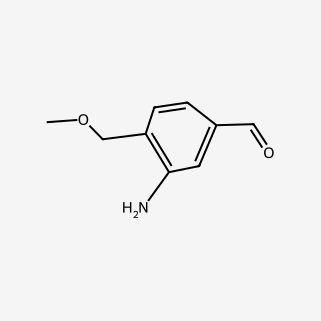 COCc1ccc(C=O)cc1N